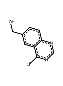 OCc1ccc2ncnc(Cl)c2c1